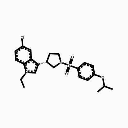 CCn1cc([C@@H]2CCN(S(=O)(=O)c3ccc(OC(C)C)cc3)C2)c2cc(Cl)ccc21